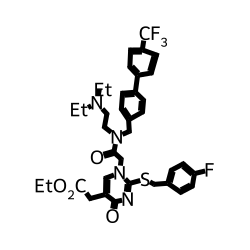 CCOC(=O)Cc1cn(CC(=O)N(CCN(CC)CC)Cc2ccc(-c3ccc(C(F)(F)F)cc3)cc2)c(SCc2ccc(F)cc2)nc1=O